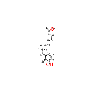 CCC(CCCC/C=C\CC(C)=O)Cc1cccc(O)c1C